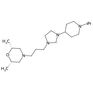 CC(C)N1CCC(N2[C]N(CCCN3C[C@@H](C)O[C@@H](C)C3)CC2)CC1